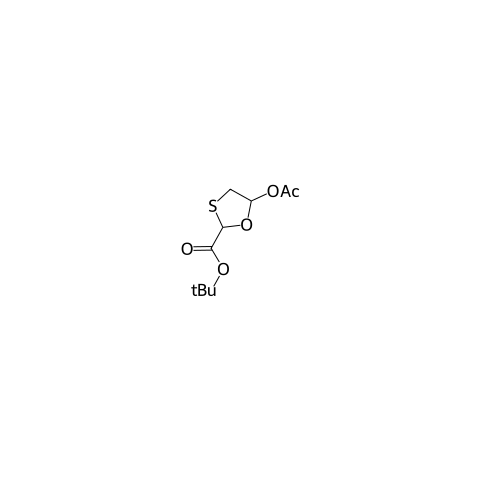 CC(=O)OC1CSC(C(=O)OC(C)(C)C)O1